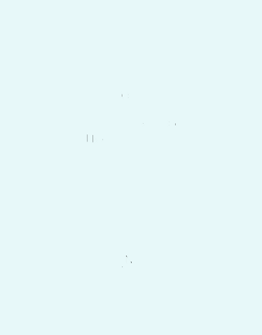 NCCCC(O)C(=O)O